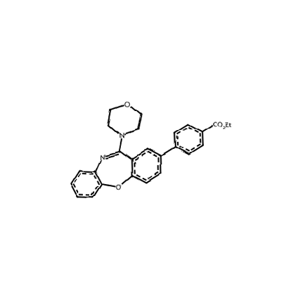 CCOC(=O)c1ccc(-c2ccc3c(c2)C(N2CCOCC2)=Nc2ccccc2O3)cc1